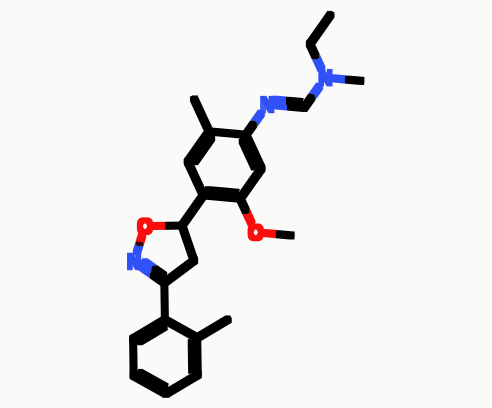 CCN(C)C=Nc1cc(OC)c(C2CC(c3ccccc3C)=NO2)cc1C